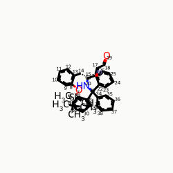 CC(C)(C)[Si](C)(C)Oc1ccccc1C[C@H](/C=C/C=O)NC(c1ccccc1)(c1ccccc1)c1ccccc1